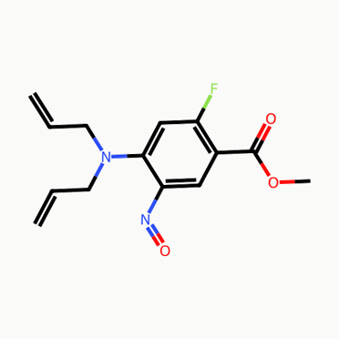 C=CCN(CC=C)c1cc(F)c(C(=O)OC)cc1N=O